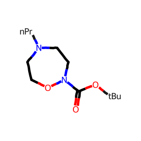 CCCN1CCON(C(=O)OC(C)(C)C)CC1